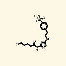 NS(=O)(=O)c1ccc(CCNc2nnc(NC(=O)CCCCCl)s2)cc1